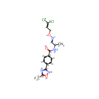 CC(C=NOCC=C(Cl)Cl)NC(=O)c1ccc(-c2noc(C(F)(F)F)n2)cc1